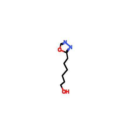 OCCCCCCc1nnco1